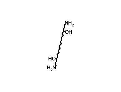 NCCCC(O)CCCCCCCCCCCCC(O)CCCN